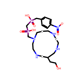 O=[N+]([O-])c1ccc(CP(=O)(O)CP(=O)(O)CN2CCCNCCNCC(CCO)CNCC2)cc1